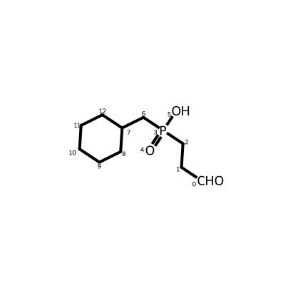 O=CCCP(=O)(O)CC1CCCCC1